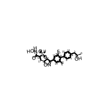 C[C@@H](O)Cc1ccc(-c2c(F)cc(C3=NO[C@@H](CC(C(=O)NO)S(C)(=O)=O)C3)cc2F)cc1